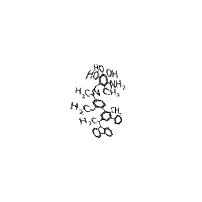 C=Cc1cc(/C(C)=N/Cc2c(C)c(N)c(O)c(O)c2O)ccc1-c1cc(C(C)C2c3ccccc3-c3ccccc32)cc(-c2ccccc2)c1C